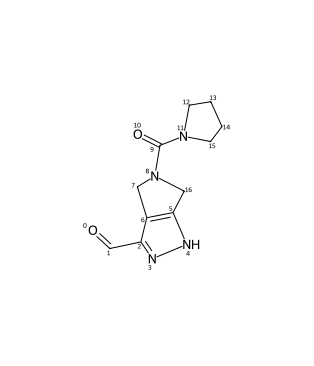 O=Cc1n[nH]c2c1CN(C(=O)N1CCCC1)C2